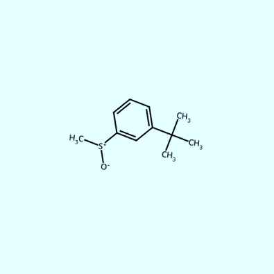 C[S+]([O-])c1cccc(C(C)(C)C)c1